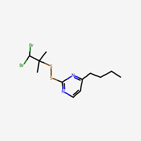 CCCCc1ccnc(SSC(C)(C)C(Br)Br)n1